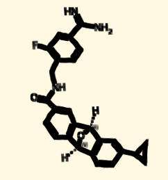 N=C(N)c1ccc(CNC(=O)c2ccc3c(c2)[C@@H]2O[C@H]3c3ccc(C4CC4)cc32)c(F)c1